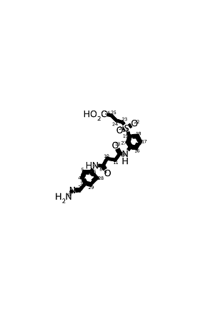 NN=Cc1ccc(NC(=O)CCC(=O)Nc2cccc(S(=O)(=O)CCCC(=O)O)c2)cc1